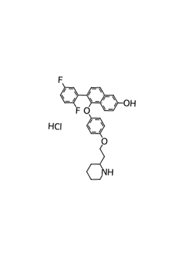 Cl.Oc1ccc2c(Oc3ccc(OCCC4CCCCN4)cc3)c(-c3cc(F)ccc3F)ccc2c1